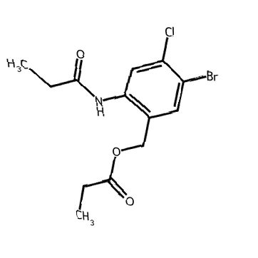 CCC(=O)Nc1cc(Cl)c(Br)cc1COC(=O)CC